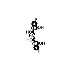 OC1C[C@@H]([C@H](O)CNC[C@@H](O)[C@H]2CC(O)c3cc(F)ccc3O2)Oc2ccc(F)cc21